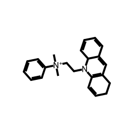 C[N+](C)(CCN1C2=C(C=C3C=CC=CC31)CCC=C2)c1ccccc1